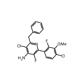 COc1c(Cl)ccc(-c2nc(Cc3ccccc3)c(Cl)c(N)c2F)c1F